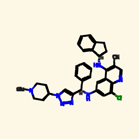 CC(C)(C)N1CCC(n2cc([C@@H](Nc3cc(Cl)c4ncc(C#N)c(N[C@H]5CCc6ccccc65)c4c3)c3ccccc3)nn2)CC1